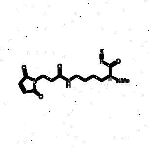 CN[C@@H](CCCCNC(=O)CCN1C(=O)C=CC1=O)C(=O)P=S